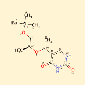 C[C@@H](CO[Si](C)(C)C(C)(C)C)O[C@H](C)c1c[nH]c(=O)[nH]c1=O